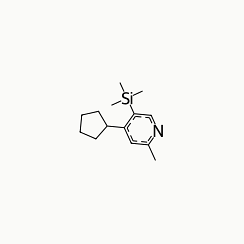 Cc1cc(C2CCCC2)c([Si](C)(C)C)cn1